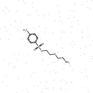 Cc1ccc(S(=O)(=O)OCCOCCN)cc1